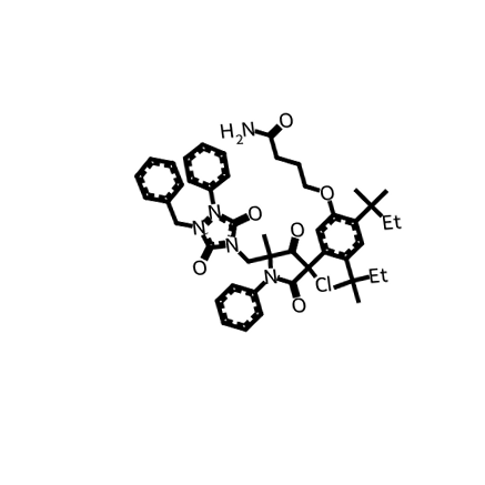 CCC(C)(C)c1cc(C(C)(C)CC)c(C(Cl)(C(=O)[N]c2ccccc2)C(=O)C(C)(C)Cn2c(=O)n(Cc3ccccc3)n(-c3ccccc3)c2=O)cc1OCCCC(N)=O